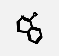 [O]c1nccc2ccccc12